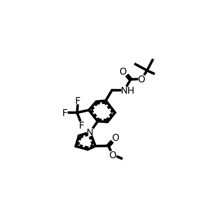 COC(=O)c1cccn1-c1ccc(CNC(=O)OC(C)(C)C)cc1C(F)(F)F